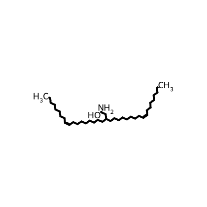 CCCCCCCC/C=C\CCCCCCCCC(CCCCCCCC/C=C\CCCCCCCC)CC(N)O